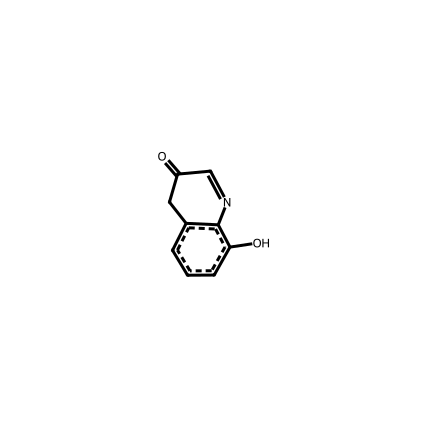 O=C1C=Nc2c(O)cccc2C1